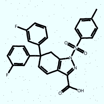 Cc1ccc(S(=O)(=O)n2nc(C(=O)O)c3c2CC(c2cccc(F)c2)(c2cccc(F)c2)C=C3)cc1